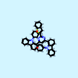 C1=CCC(n2c3ccccc3c3cccc(-c4cc(C5=c6c(c7ccccc7n6-c6ccccc6)=CCC5)nc(-c5cc6ccccc6s5)n4)c32)C=C1